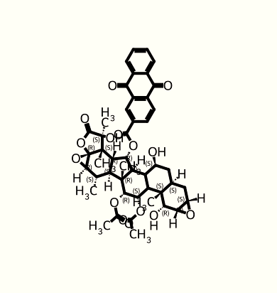 CC(=O)O[C@H]1C2C([C@@H]3[C@@H](OC(=O)c4ccc5c(c4)C(=O)c4ccccc4C5=O)[C@@H]4[C@H]([C@H](C)[C@H]5O[C@]56OC(=O)[C@@](C)(O)[C@]46C)[C@@]3(C)[C@H]1OC(C)=O)[C@@H](O)C[C@H]1C[C@@H]3O[C@@H]3[C@H](O)[C@]21C